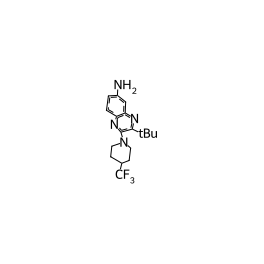 CC(C)(C)c1nc2cc(N)ccc2nc1N1CCC(C(F)(F)F)CC1